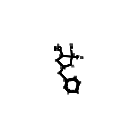 OC1CN(Cc2ccccc2)CC1(F)F